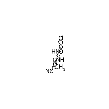 CC1(OCC(=O)NC23CC(NC(=O)COc4ccc(Cl)cc4)(C2)C3)CC(C#N)C1